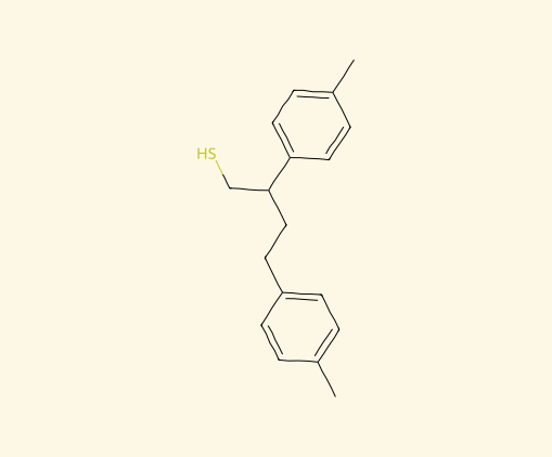 Cc1ccc(CCC(CS)c2ccc(C)cc2)cc1